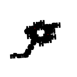 CCCCCOc1ccc(-c2ccc(-c3ccc(C(=O)N[C@H]4C[C@@H](O)[C@@H](OCC[N+]5(C)CCCCC5)NC(=O)[C@@H]5[C@@H](O)[C@@H](C)CN5C(=O)[C@H]([C@@H](C)O)NC(=O)[C@H]([C@H](O)[C@@H](O)c5ccc(O)cc5)NC(=O)[C@@H]5C[C@@H](O)CN5C(=O)[C@H]([C@@H](C)O)NC4=O)cc3)cc2)cc1